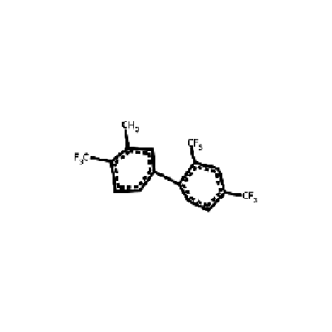 Cc1cc(-c2ccc(C(F)(F)F)cc2C(F)(F)F)ccc1C(F)(F)F